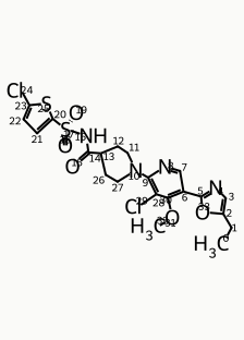 CCc1cnc(-c2cnc(N3CCC(C(=O)NS(=O)(=O)c4ccc(Cl)s4)CC3)c(Cl)c2OC)o1